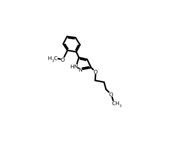 COCCCOc1cc(-c2ccccc2OC)[nH]n1